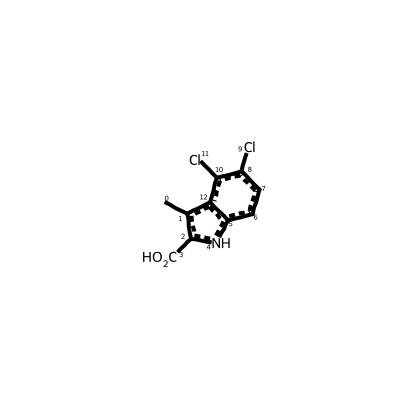 Cc1c(C(=O)O)[nH]c2ccc(Cl)c(Cl)c12